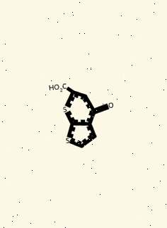 O=C(O)c1cc(=O)c2ccsc2s1